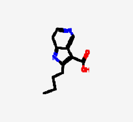 CCCCC1=C(C(=O)O)C2=CN=CCC2=N1